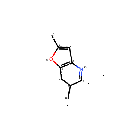 Cc1cc2c(o1)CC(C)C=N2